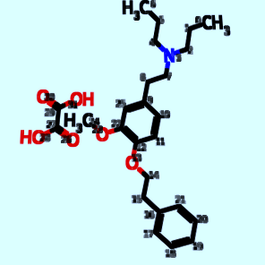 CCCN(CCC)CCc1ccc(OCCc2ccccc2)c(OC)c1.O=C(O)C(=O)O